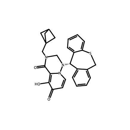 O=C1c2c(O)c(=O)ccn2N([C@H]2c3ccccc3CSc3ccccc32)CN1CC12CC(C1)C2